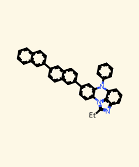 CCc1nc2cccc3c2n1-c1ccc(-c2ccc4cc(-c5ccc6ccccc6c5)ccc4c2)cc1N3c1ccccc1